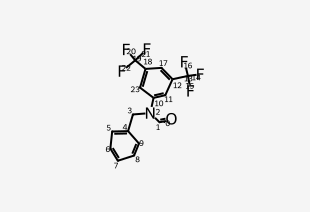 O=[C]N(Cc1ccccc1)c1cc(C(F)(F)F)cc(C(F)(F)F)c1